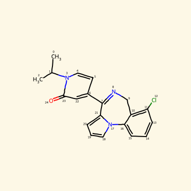 CC(C)n1ccc(C2=NCc3c(Cl)cccc3-n3cccc32)cc1=O